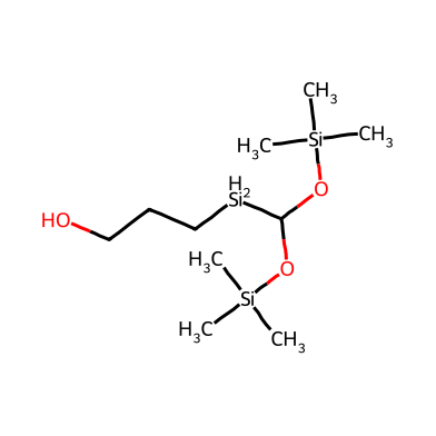 C[Si](C)(C)OC(O[Si](C)(C)C)[SiH2]CCCO